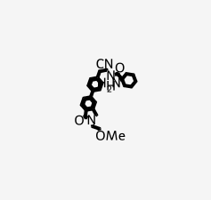 COCCN1Cc2cc(-c3ccc(C[C@@H](C#N)NC(=O)C4(N)CCCCC4)cc3)ccc2C1=O